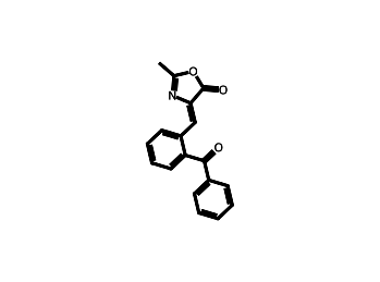 CC1=NC(=Cc2ccccc2C(=O)c2ccccc2)C(=O)O1